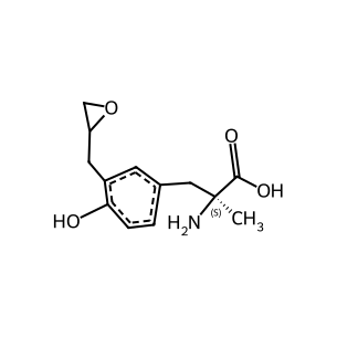 C[C@](N)(Cc1ccc(O)c(CC2CO2)c1)C(=O)O